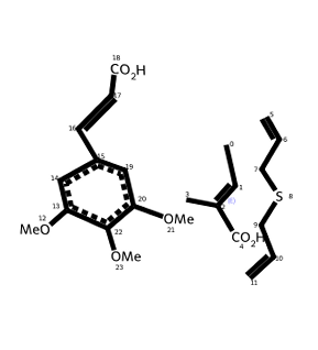 C/C=C(\C)C(=O)O.C=CCSCC=C.COc1cc(C=CC(=O)O)cc(OC)c1OC